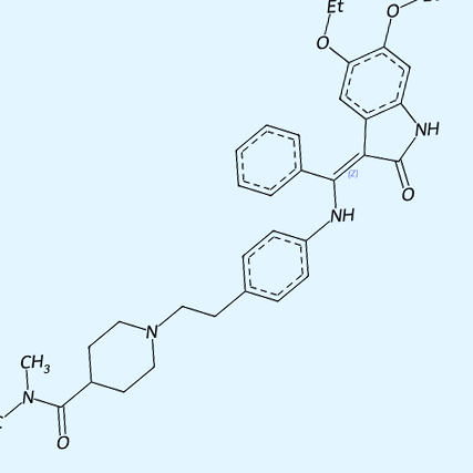 CCOc1cc2c(cc1OCC)/C(=C(/Nc1ccc(CCN3CCC(C(=O)N(C)C)CC3)cc1)c1ccccc1)C(=O)N2